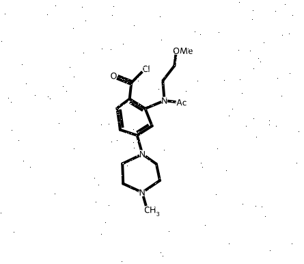 COCCN(C(C)=O)c1cc(N2CCN(C)CC2)ccc1C(=O)Cl